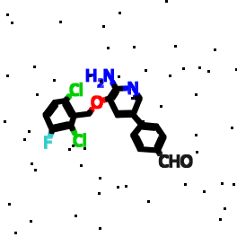 Nc1ncc(-c2ccc(C=O)cc2)cc1OCc1c(Cl)ccc(F)c1Cl